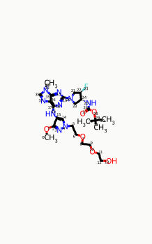 COc1nn(CCOCCOCCO)cc1Nc1nc(N2C[C@@H](F)[C@H](NC(=O)OC(C)(C)C)C2)nc2c1ncn2C